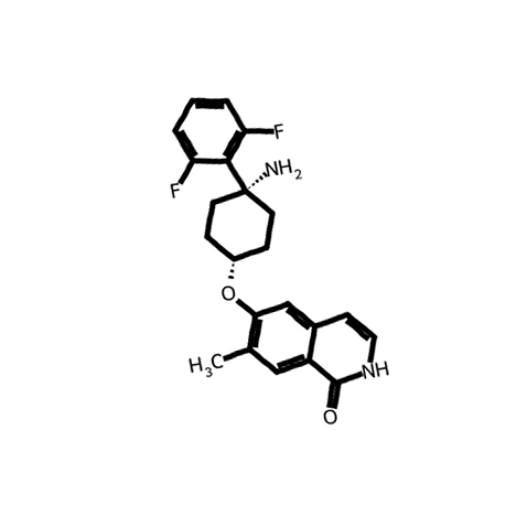 Cc1cc2c(=O)[nH]ccc2cc1O[C@H]1CC[C@](N)(c2c(F)cccc2F)CC1